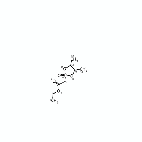 CCOC(=O)CP1(=O)OC(C)C(C)O1